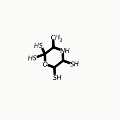 CC1NC(S)C(S)OC1(S)S